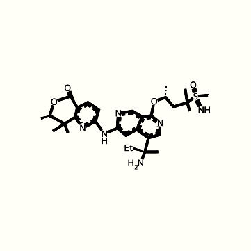 CC[C@@](C)(N)c1cnc(O[C@H](C)CC(C)(C)S(C)(=N)=O)c2cnc(Nc3ccc4c(n3)C(C)(C)[C@@H](C)OC4=O)cc12